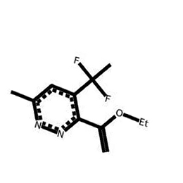 C=C(OCC)c1nnc(C)cc1C(C)(F)F